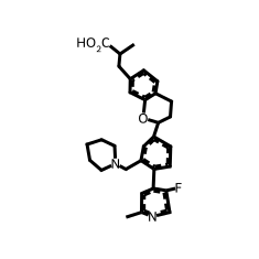 Cc1cc(-c2ccc(C3CCc4ccc(CC(C)C(=O)O)cc4O3)cc2CN2CCCCC2)c(F)cn1